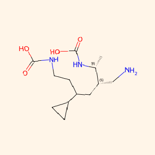 C[C@@H](NC(=O)O)[C@H](CN)CC(CCNC(=O)O)C1CC1